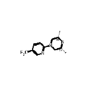 C[C@@H]1CN(c2ccc(C(F)(F)F)cn2)C[C@H](C)[N]1